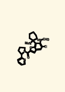 CNC1(c2c(NC=O)c(Cl)cc3cc(C(=O)N4CCCC4c4ccccn4)oc23)CCCCC1